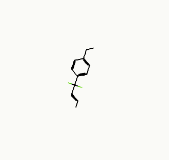 C/C=C/C(F)(F)c1ccc(CC)cc1